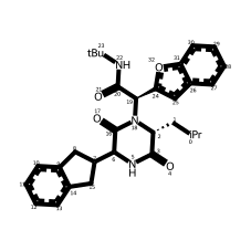 CC(C)C[C@@H]1C(=O)NC(C2Cc3ccccc3C2)C(=O)N1[C@@H](C(=O)NC(C)(C)C)c1cc2ccccc2o1